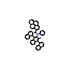 C=C(c1ccc2ccc3c4c2c1=CCC4CCC=3)N(c1ccccc1)c1c(C)c(-c2cccc3ccccc23)c2ccccc2c1-c1cccc2ccccc12